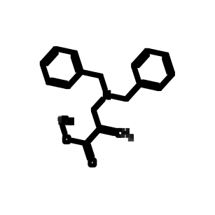 C=C(CN(Cc1ccccc1)Cc1ccccc1)C(=O)OC(C)(C)C